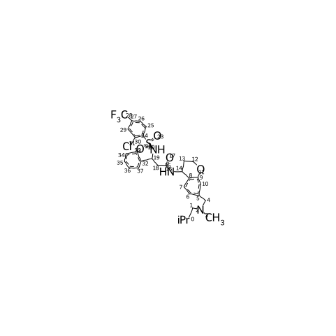 CC(C)CN(C)Cc1ccc2c(c1)OCCC2NC(=O)CC(NS(=O)(=O)c1ccc(C(F)(F)F)cc1Cl)c1ccccc1